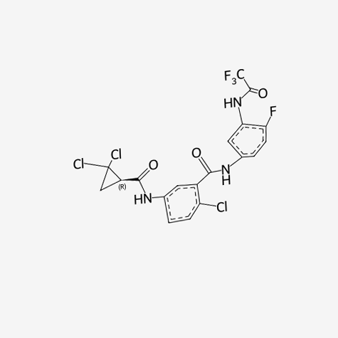 O=C(Nc1ccc(F)c(NC(=O)C(F)(F)F)c1)c1cc(NC(=O)[C@H]2CC2(Cl)Cl)ccc1Cl